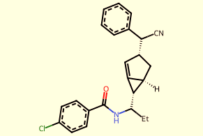 CCC(NC(=O)c1ccc(Cl)cc1)[C@@H]1C2=C[C@H](C(C#N)c3ccccc3)C[C@H]21